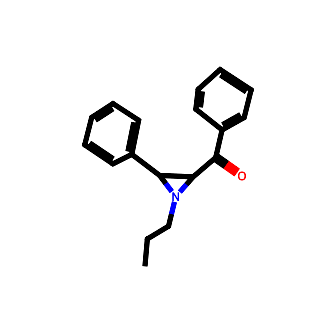 CCCN1C(C(=O)c2ccccc2)C1c1ccccc1